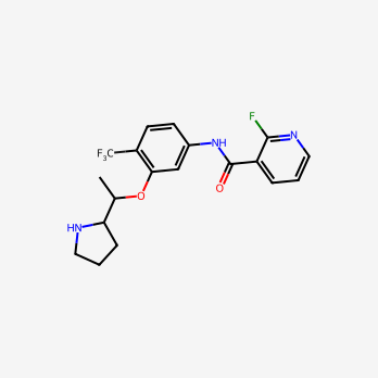 CC(Oc1cc(NC(=O)c2cccnc2F)ccc1C(F)(F)F)C1CCCN1